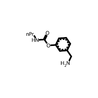 CCCNC(=O)Oc1cccc(CN)c1